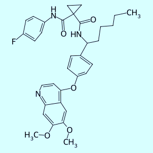 CCCCCC(NC(=O)C1(C(=O)Nc2ccc(F)cc2)CC1)c1ccc(Oc2ccnc3cc(OC)c(OC)cc23)cc1